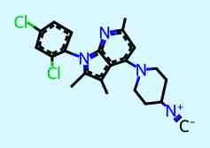 [C-]#[N+]C1CCN(c2cc(C)nc3c2c(C)c(C)n3-c2ccc(Cl)cc2Cl)CC1